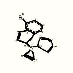 Brc1cccc2c1C=CC2S1(C2C=CC=C2)C#C1